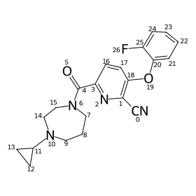 N#Cc1nc(C(=O)N2CCCN(C3CC3)CC2)ccc1Oc1ccccc1F